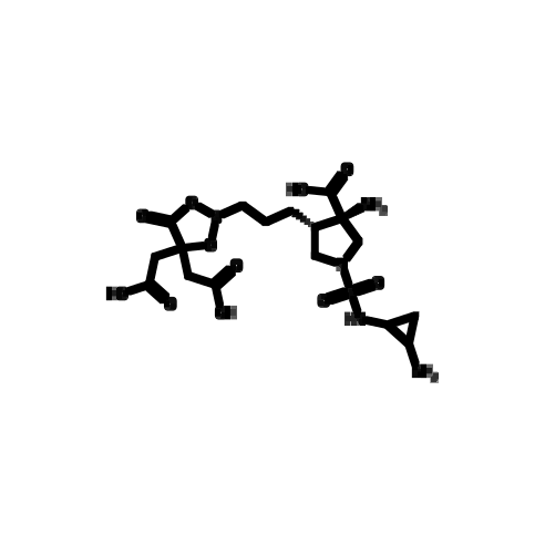 NC1CC1NS(=O)(=O)N1C[C@H](CCCB2OC(=O)C(CC(=O)O)(CC(=O)O)O2)[C@](N)(C(=O)O)C1